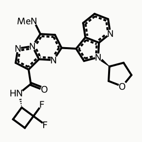 CNc1cc(-c2cn([C@H]3CCOC3)c3ncccc23)nc2c(C(=O)N[C@H]3CCC3(F)F)cnn12